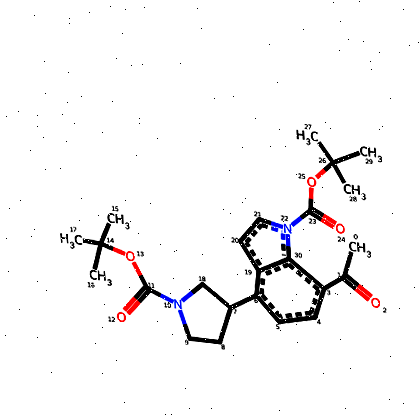 CC(=O)c1ccc(C2CCN(C(=O)OC(C)(C)C)C2)c2ccn(C(=O)OC(C)(C)C)c12